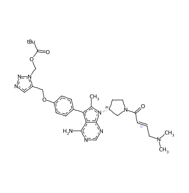 Cc1c(-c2ccc(OCc3cnnn3COC(=O)C(C)(C)C)cc2)c2c(N)ncnc2n1[C@@H]1CCN(C(=O)/C=C/CN(C)C)C1